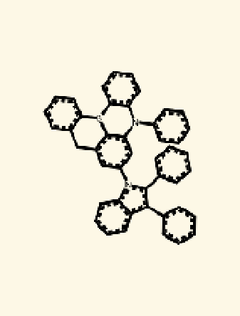 c1ccc(-c2c(-c3ccccc3)n(-c3cc4c5c(c3)N(c3ccccc3)c3ccccc3B5c3ccccc3C4)c3ccccc23)cc1